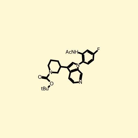 CC(=O)Nc1cc(F)ccc1-n1cc(C2CCCN(C(=O)OC(C)(C)C)C2)c2ccncc21